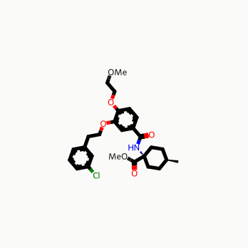 COCCOc1ccc(C(=O)N[C@]2(C(=O)OC)CC[C@@H](C)CC2)cc1OCCc1cccc(Cl)c1